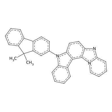 CC1(C)c2ccccc2-c2ccc(-n3c4ccccc4c4c3ccc3nc5ccccn5c34)cc21